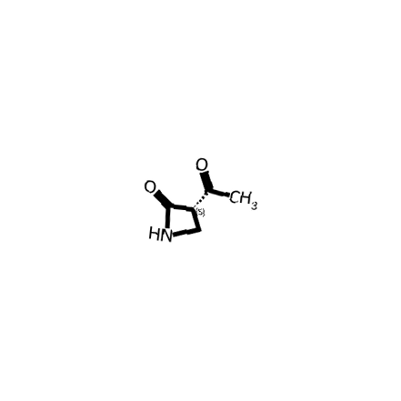 CC(=O)[C@@H]1CNC1=O